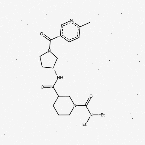 CCN(CC)C(=O)N1CCCC(C(=O)N[C@@H]2CCN(C(=O)c3ccc(C)nc3)C2)C1